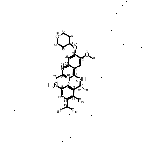 COc1cc2c(N[C@H](C)c3cc(N)cc(C(F)F)c3F)nc(C)nc2cc1OC1CCOCC1